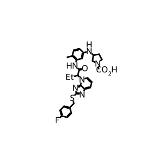 CCC(C(=O)Nc1cc(NC2CCN(C(=O)O)C2)ccc1C)n1cccc2nc(SCc3ccc(F)cc3)nc1-2